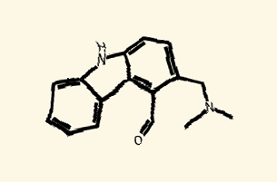 CN(C)Cc1ccc2[nH]c3ccccc3c2c1C=O